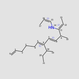 C=CCCC/C=C(/C=C/C(C)/C(=C/C)N/C=C\C)C(C)CC